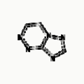 c1cn2ncnc2nn1